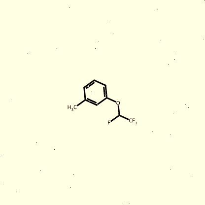 Cc1cccc(OC(F)C(F)(F)F)c1